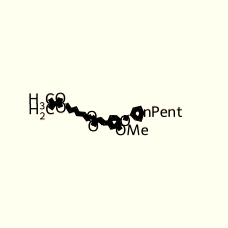 C=C(C)C(=O)OCCCCCCOC(=O)C=Cc1ccc(OC[C@H]2CC[C@H](CCCCC)CC2)c(OC)c1